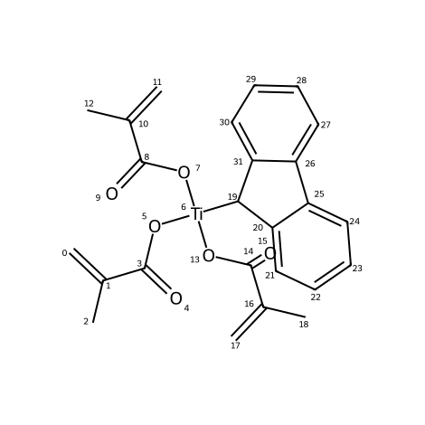 C=C(C)C(=O)[O][Ti]([O]C(=O)C(=C)C)([O]C(=O)C(=C)C)[CH]1c2ccccc2-c2ccccc21